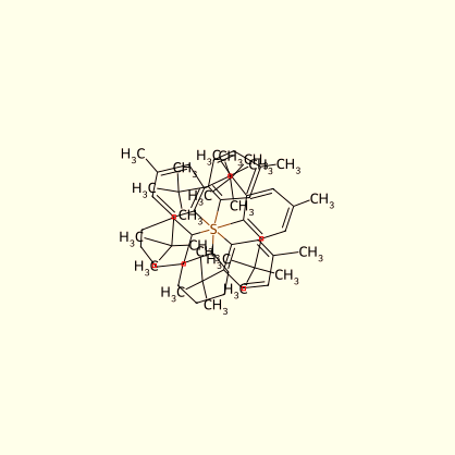 Cc1cc(C(C)(C)C)c(S(c2cc(C)ccc2C(C)(C)C)(c2cc(C)ccc2C(C)(C)C)(c2c(C(C)(C)C)cc(C)cc2C(C)(C)C)(C2CCCCC2)C2CCCCC2)c(C(C)(C)C)c1